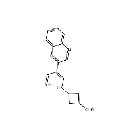 N=C/C(=C\NC1CC(C=O)C1)c1cnc2ccccc2n1